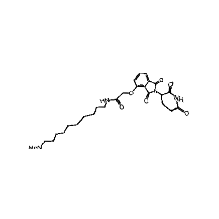 CNCCCCCCCCCCNC(=O)COc1cccc2c1C(=O)N(C1CCC(=O)NC1=O)C2=O